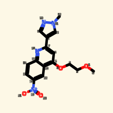 COCCOc1cc(-c2cnn(C)c2)nc2ccc([N+](=O)[O-])cc12